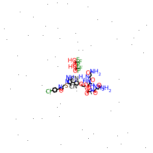 CC(NC(=O)[C@@H](N)CC(N)=O)C(=O)O[C@H](COC(=O)[C@H](C)NC(=O)[C@@H](N)CC(N)=O)COc1ccc(-c2c(C#N)c(N)nc(SCc3coc(-c4ccc(Cl)cc4)n3)c2C#N)cc1.O=C(O)C(F)(F)F.O=C(O)C(F)(F)F